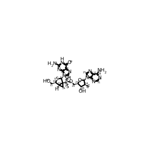 Nc1nc2c(ncn2[C@@H]2S[C@H](CO)[C@@H]3C[C@]32P(=S)(S)OC[C@H]2O[C@@H](n3cnc4c(N)ncnc43)[C@@H](F)[C@@H]2O)c(=O)[nH]1